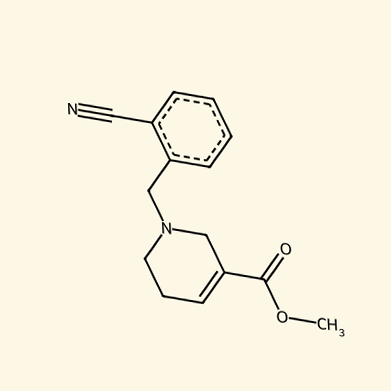 COC(=O)C1=CCCN(Cc2ccccc2C#N)C1